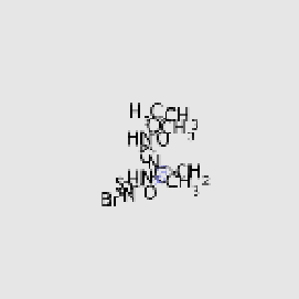 C=C/C=C(\C(=C/C)NC(=O)c1csc(Br)n1)N1CC[C@H](NC(=O)OC(C)(C)C)C1